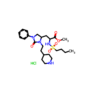 CCCCS(=O)(=O)NC(CC1CN(c2ccccc2)C(=O)N1CCC1CCNCC1)C(=O)OC.Cl